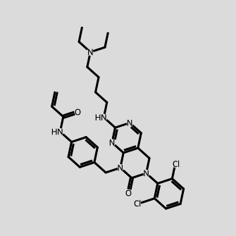 C=CC(=O)Nc1ccc(CN2C(=O)N(c3c(Cl)cccc3Cl)Cc3cnc(NCCCCN(CC)CC)nc32)cc1